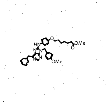 COC(=O)CCCCCCOc1ccc(Nc2nc3c(Cc4ccccc4)ncnc3n2Cc2ccc(OC)cc2)cc1